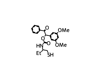 CCC(CS)NC(=O)OC(C(=O)c1ccccc1)c1cc(OC)cc(OC)c1